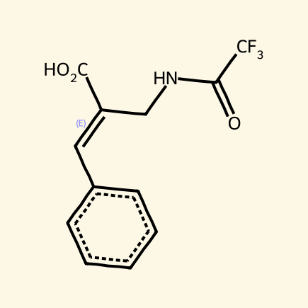 O=C(O)/C(=C/c1ccccc1)CNC(=O)C(F)(F)F